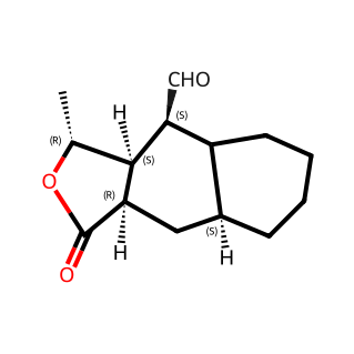 C[C@H]1OC(=O)[C@@H]2C[C@@H]3CCCCC3[C@H](C=O)[C@H]12